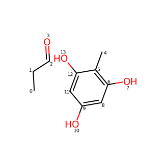 CCC=O.Cc1c(O)cc(O)cc1O